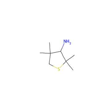 CC1(C)CSC(C)(C)C1N